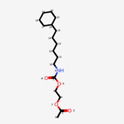 CC(=O)OCCOC(=O)NCCCCCCC1CCCCC1